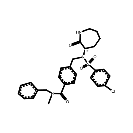 CN(Cc1ccccc1)C(=O)c1ccc(CN([C@@H]2CCCCNC2=O)S(=O)(=O)c2ccc(Cl)cc2)cc1